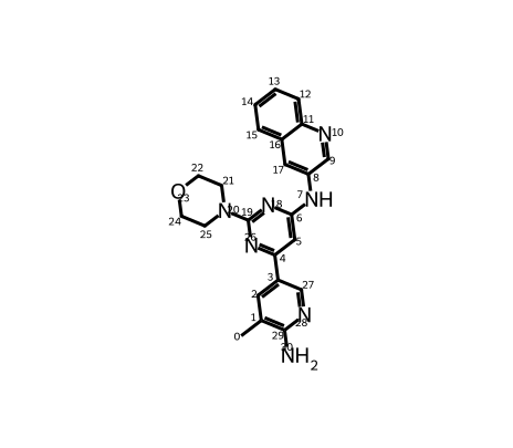 Cc1cc(-c2cc(Nc3cnc4ccccc4c3)nc(N3CCOCC3)n2)cnc1N